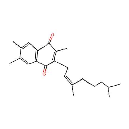 CC(=CCC1=C(C)C(=O)c2cc(C)c(C)cc2C1=O)CCCC(C)C